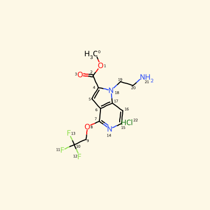 COC(=O)c1cc2c(OCC(F)(F)F)nccc2n1CCN.Cl